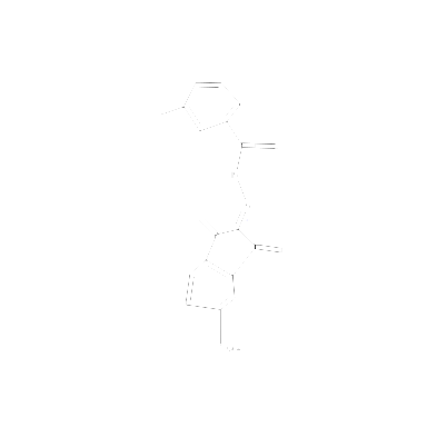 COc1ccc2c(=O)/c(=N\NC(=O)c3cccc(O)c3)c(=O)c2c1